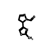 Cc1nc(C2CC=NN2C=O)co1